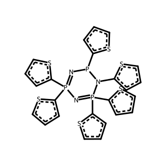 c1csc(N2P(c3cccs3)N=P(c3cccs3)(c3cccs3)N=P2(c2cccs2)c2cccs2)c1